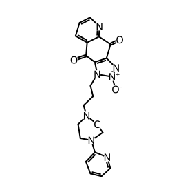 O=C1c2ncccc2C(=O)c2c1n[n+]([O-])n2CCCN1CCN(c2ccccn2)CC1